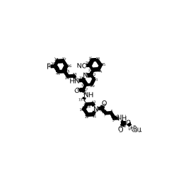 CC(C)(C)OC(=O)NCCCC(=O)N1CCC[C@H](CNC(=O)c2ccc(-c3ccccc3C#N)nc2NCCc2cccc(F)c2)C1